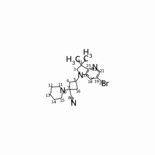 CC1(C)CN(C2CC(C#N)(N3CCCCC3)C2)c2cc(Br)cnc21